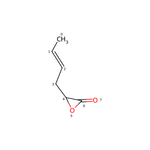 CC=CCC1OC1=O